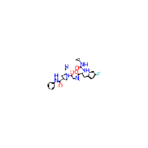 CN(CC(=O)N1CC(C(=O)Nc2ccccc2)CC1C#N)C(=O)C(Cc1ccc(F)cc1)NC(=O)NC1CC1